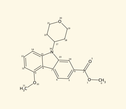 COC(=O)c1ccc2c3c(OC)cccc3n(C3CCOCC3)c2c1